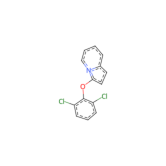 Clc1cccc(Cl)c1Oc1ccc2ccccn12